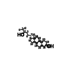 CC(C)C(O)CCC[C@H]1CCC2C3CCC4CC(O)CCC4C3CCC21C